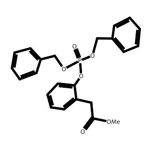 COC(=O)Cc1ccccc1OP(=O)(OCc1ccccc1)OCc1ccccc1